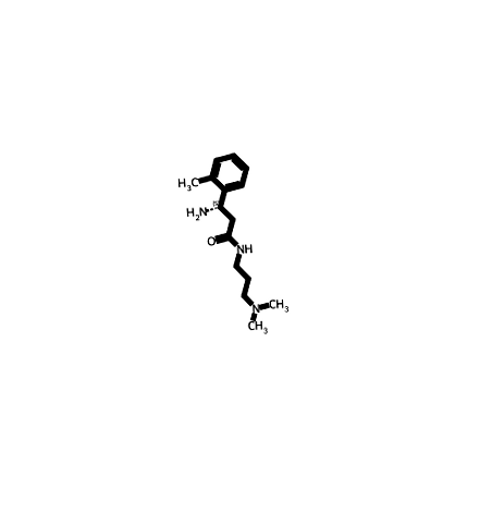 Cc1ccccc1[C@@H](N)CC(=O)NCCCN(C)C